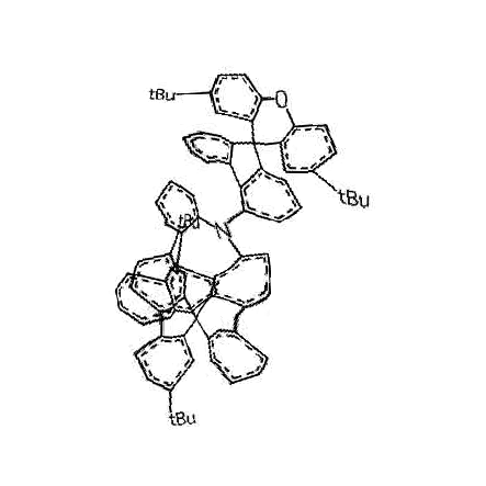 CC(C)(C)c1ccc2c(c1)C1(c3cc(C(C)(C)C)ccc3O2)c2ccccc2-c2c(N(c3ccc4c(c3)C3(c5ccccc5-4)c4cc(C(C)(C)C)ccc4-c4ccc(C(C)(C)C)cc43)c3ccccc3-c3cccc4ccccc34)cccc21